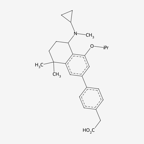 CC(C)Oc1cc(-c2ccc(CC(=O)O)cc2)cc2c1C(N(C)C1CC1)CCC2(C)C